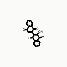 O=C1C=C(C2=C(O)C(=O)c3ccccc3C2=O)C(=O)c2ccccc21